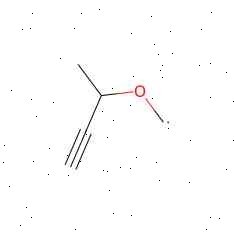 C#CC(C)O[CH2]